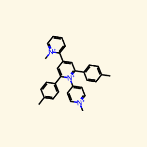 Cc1ccc(-c2cc(-c3cccc[n+]3C)cc(-c3ccc(C)cc3)[n+]2-c2cc[n+](C)cc2)cc1